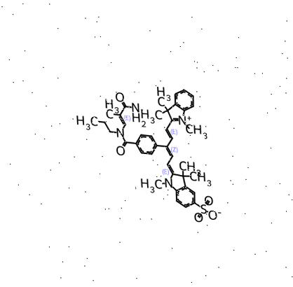 CCCN(/C=C(\C)C(N)=O)C(=O)c1ccc(C(=C\C=C2\N(C)c3ccc(S(=O)(=O)[O-])cc3C2(C)C)/C=C/C2=[N+](C)c3ccccc3C2(C)C)cc1